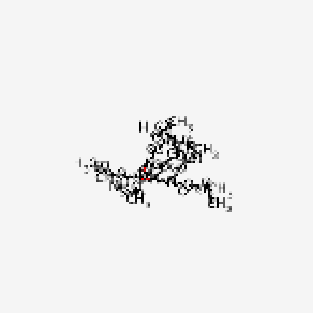 CSCC(C)C(=O)OCCOC(=O)CCN(CCCN(CCCN(CCC(=O)OCCOC(=O)C(C)CSC)CCC(=O)OCCOC(=O)C(C)CSC)CCC(=O)OCCOC(=O)C(C)CSC#N)CCCN(CCC(=O)OCCOC(=O)C(C)CSC)CCC(=O)OCCOC(=O)C(C)CSC#N